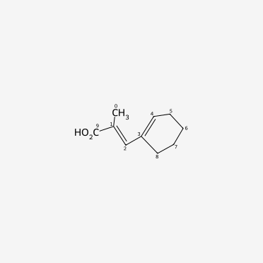 CC(=CC1=CCCCC1)C(=O)O